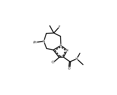 CC(C)N1Cc2c(Cl)c(C(=O)N(C)C)nn2CC(C)(F)C1